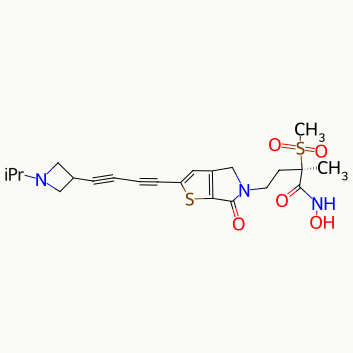 CC(C)N1CC(C#CC#Cc2cc3c(s2)C(=O)N(CC[C@](C)(C(=O)NO)S(C)(=O)=O)C3)C1